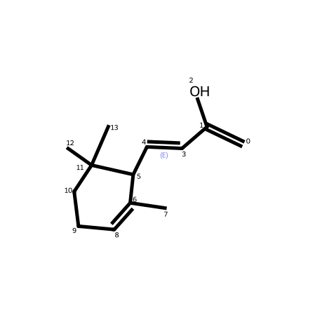 C=C(O)/C=C/C1C(C)=CCCC1(C)C